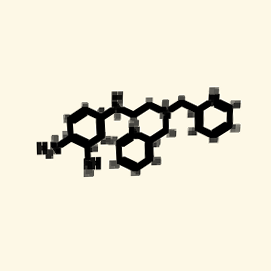 Nc1ccc(NCCN(Cc2ccccn2)Cc2ccccn2)cc1S